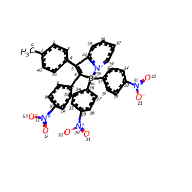 Cc1ccc(C2=C(c3ccc([N+](=O)[O-])cc3)[B-](c3ccc([N+](=O)[O-])cc3)(c3ccc([N+](=O)[O-])cc3)[n+]3ccccc32)cc1